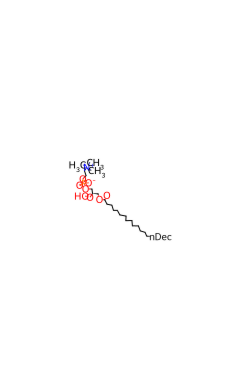 CCCCCCCCCCCCCCCCCCCCCCCC(=O)OC[C@H](COP(=O)([O-])OCC[N+](C)(C)C)OO